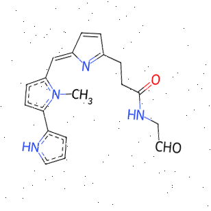 Cn1c(/C=C2/C=CC(CCC(=O)NCC=O)=N2)ccc1-c1ccc[nH]1